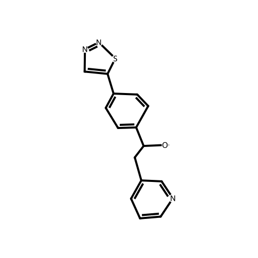 [O]C(Cc1cccnc1)c1ccc(-c2cnns2)cc1